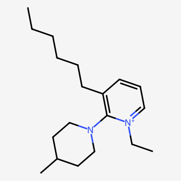 CCCCCCc1ccc[n+](CC)c1N1CCC(C)CC1